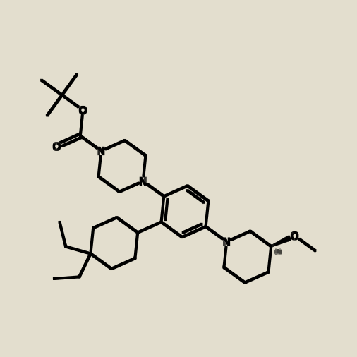 CCC1(CC)CCC(c2cc(N3CCC[C@H](OC)C3)ccc2N2CCN(C(=O)OC(C)(C)C)CC2)CC1